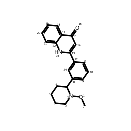 CON1CCCCC1c1cccc(-c2cc(=O)c3ccccc3[nH]2)c1